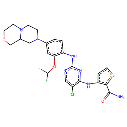 NC(=O)c1sccc1Nc1nc(Nc2ccc(N3CCN4CCOCC4C3)cc2OC(F)F)ncc1Cl